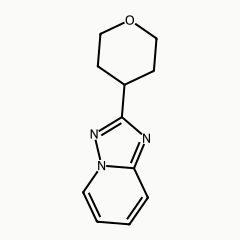 c1ccn2nc(C3CCOCC3)nc2c1